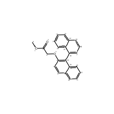 COC(=O)COc1ccc2ccccc2c1-c1cccc2ccccc12